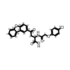 O=C(COc1ccc(Cl)cc1)NC(CC(=O)c1ccc2oc3ccccc3c2c1)C(=O)O